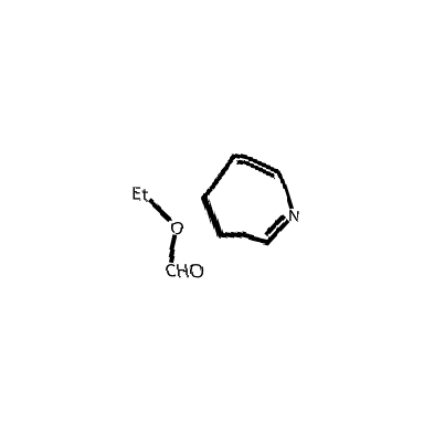 C1=CN=CCC1.CCOC=O